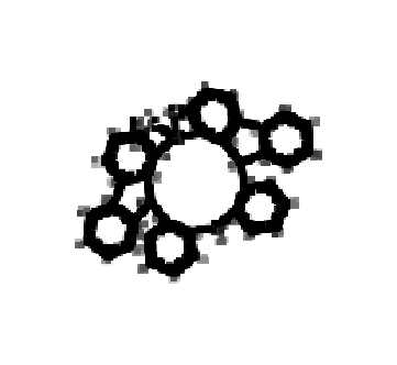 C[Si]1(C)c2cccc3c2C(c2cccc[c]2[Zr][c]2ccccc2C2c4ccccc4-c4cccc1c42)c1ccccc1-3